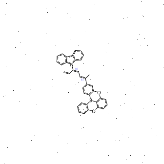 C=C/C(=C\C=C(/C)c1ccc2c(c1)Oc1cccc3c1B2c1ccccc1O3)n1c2ccccc2c2ccccc21